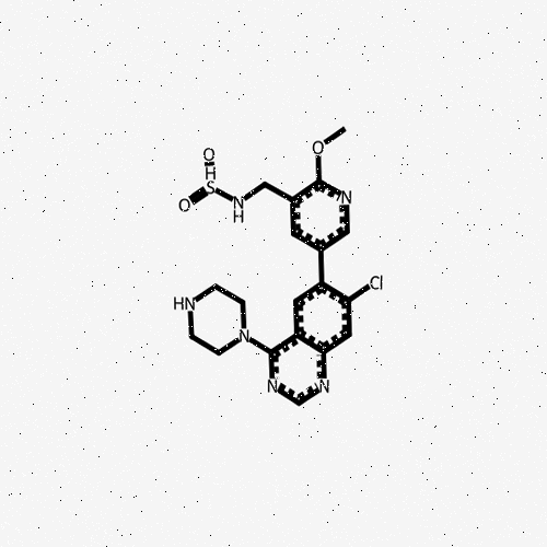 COc1ncc(-c2cc3c(N4CCNCC4)ncnc3cc2Cl)cc1CN[SH](=O)=O